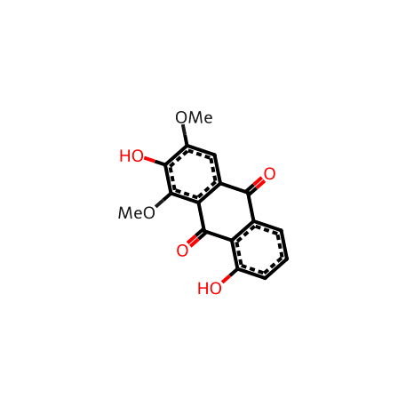 COc1cc2c(c(OC)c1O)C(=O)c1c(O)cccc1C2=O